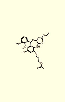 CCOC(=O)CC1OC(c2cccc(OC)c2OC)c2cc(Cl)cc(OCCCOC(C)=O)c2NC1=O